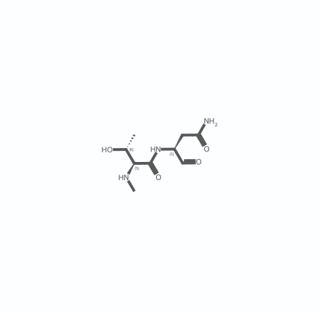 CN[C@H](C(=O)N[C@H](C=O)CC(N)=O)[C@@H](C)O